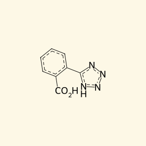 O=C(O)c1ccccc1-c1nnn[nH]1